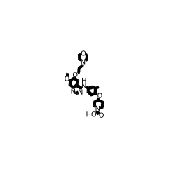 COc1cc2ncnc(Nc3ccc(OC4CCN(C(=O)O)CC4)c(C)c3)c2cc1OCCCN1CCOCC1